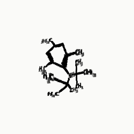 Cc1cc(C)c([SiH](C(C)(C)C)C(C)(C)C)c(C)c1